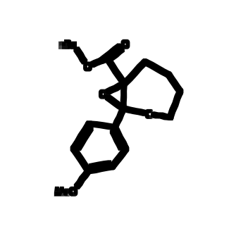 CCCCOC(=O)C12CCCCCC1(c1ccc(OC)cc1)O2